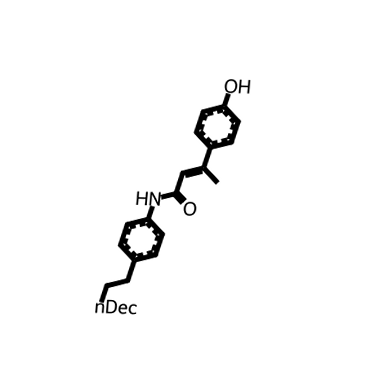 CCCCCCCCCCCCc1ccc(NC(=O)/C=C(\C)c2ccc(O)cc2)cc1